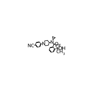 CC(O)(c1ccccc1C(=O)N(C1CC1)C1CCN(c2ccc(C#N)cc2)CC1)C(F)(F)F